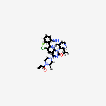 C=CC(=O)N1CCN(c2nc(=O)n(-c3c(C)ccnc3C(C)C)c3nc(-c4c(N)cccc4F)c(Cl)cc23)C[C@H]1C